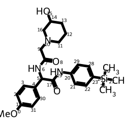 COc1ccc(C(NC(=O)CN2CCCC(O)C2)C(=O)Nc2ccc([Si](C)(C)C)cc2)cc1